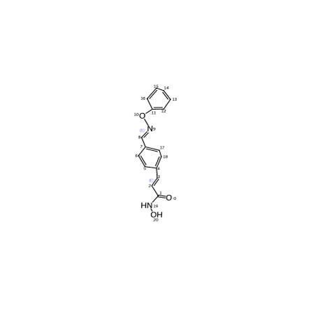 O=C(/C=C/c1ccc(/C=N/Oc2ccccc2)cc1)NO